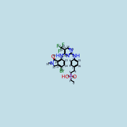 CCP(=O)(O)CCc1ccc(Nc2ncc(C(F)(F)F)c(Nc3ccc(Br)c4c3C(=O)N(C)C4)n2)cc1